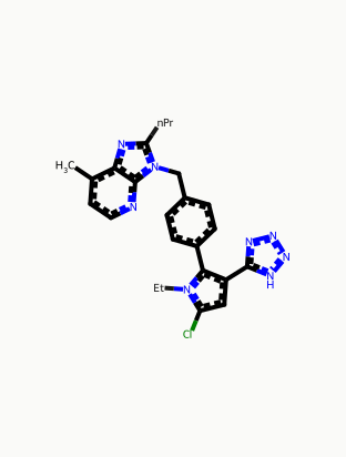 CCCc1nc2c(C)ccnc2n1Cc1ccc(-c2c(-c3nnn[nH]3)cc(Cl)n2CC)cc1